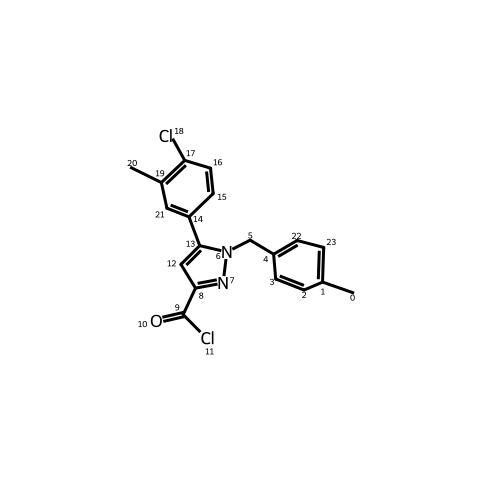 Cc1ccc(Cn2nc(C(=O)Cl)cc2-c2ccc(Cl)c(C)c2)cc1